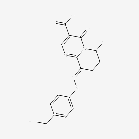 CCc1ccc(N/N=C2\CCC(C)n3c2ncc(C(=O)O)c3=O)cc1